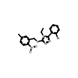 CCn1c(SCc2cc(C)ccc2[N+](=O)[O-])nnc1-c1ccccc1Br